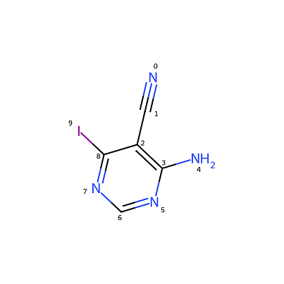 N#Cc1c(N)ncnc1I